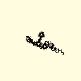 CCOC(=O)COc1ccc(Sc2cc(C#Cc3ccccc3)cc(OCCN3CCOCC3)c2)cc1C